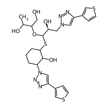 CC(O)C(CO)OC(SC1CCCC(n2cc(-c3ccsc3)nn2)C1O)[C@@H](O)Cn1cc(-c2ccsc2)nn1